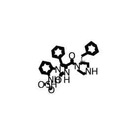 O=C(c1[nH]c(=O)n(-c2ccccc2N[SH](=O)=O)c1-c1ccccc1)N1CCNC[C@H]1Cc1ccccc1